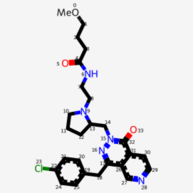 COCCCC(=O)NCCN1CCCC1Cn1nc(Cc2ccc(Cl)cc2)c2cnccc2c1=O